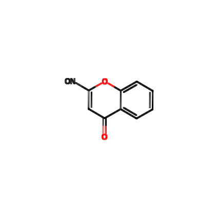 O=Nc1cc(=O)c2ccccc2o1